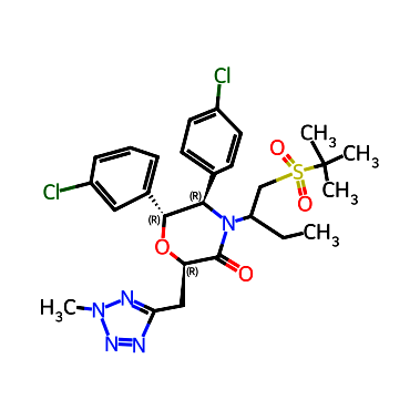 CCC(CS(=O)(=O)C(C)(C)C)N1C(=O)[C@@H](Cc2nnn(C)n2)O[C@H](c2cccc(Cl)c2)[C@H]1c1ccc(Cl)cc1